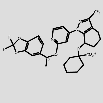 C[C@H](Oc1cc(-n2nc(C(F)(F)F)c3c2C(OC2(C(=O)O)CCCCC2)CCC3)ccn1)c1ccc2c(c1)OC(F)(F)O2